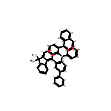 CC1(C)c2ccccc2-c2c(-c3cc(-c4ccccc4)ccc3N(c3ccccc3)c3ccccc3-c3cccc4ccccc34)cccc21